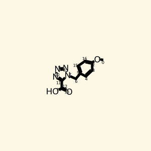 COc1ccc(Cn2nnnc2C(=O)O)cc1